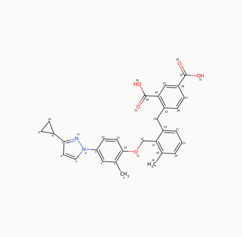 Cc1cc(-n2ccc(C3CC3)n2)ccc1OCc1c(C)cccc1Cc1ccc(C(=O)O)cc1C(=O)O